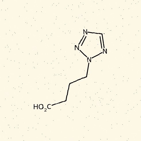 O=C(O)CCCn1n[c]nn1